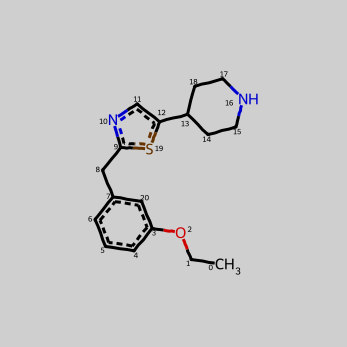 CCOc1cccc(Cc2ncc(C3CCNCC3)s2)c1